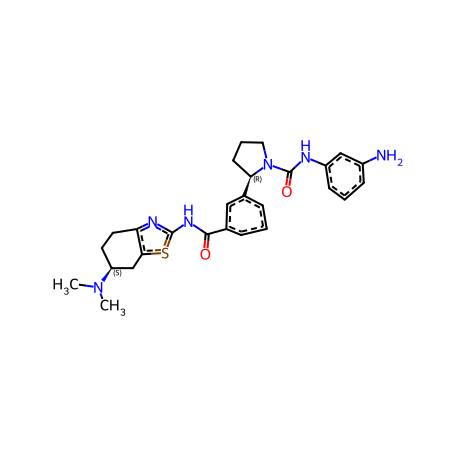 CN(C)[C@H]1CCc2nc(NC(=O)c3cccc([C@H]4CCCN4C(=O)Nc4cccc(N)c4)c3)sc2C1